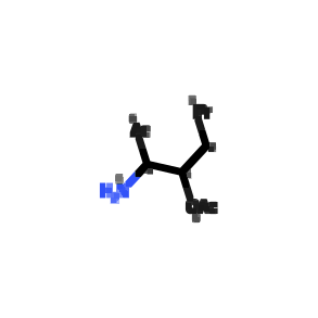 CC(=O)OC(CC(C)C)C(N)C(C)=O